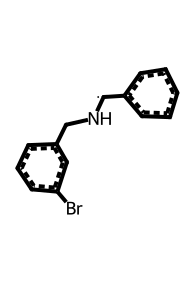 Brc1cccc(CN[CH]c2ccccc2)c1